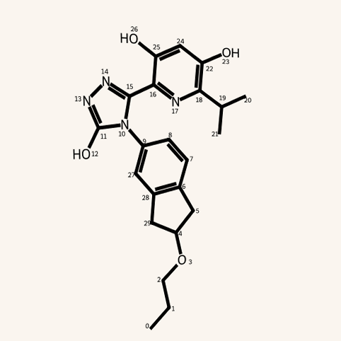 CCCOC1Cc2ccc(-n3c(O)nnc3-c3nc(C(C)C)c(O)cc3O)cc2C1